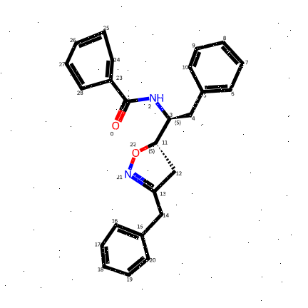 O=C(N[C@@H](Cc1ccccc1)[C@@H]1CC(Cc2ccccc2)=NO1)c1ccccc1